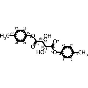 Cc1ccc(OC(=O)[C@H](O)[C@@H](O)C(=O)Oc2ccc(C)cc2)cc1